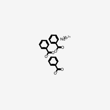 O=C([O-])c1ccccc1.O=C([O-])c1ccccc1.O=C([O-])c1ccccc1.[Nd].[Yb+3]